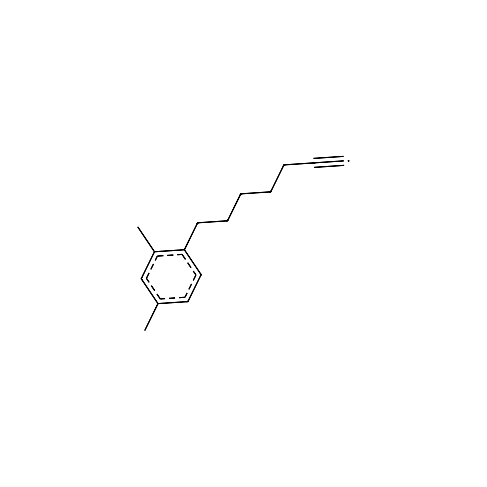 [C]#CCCCCCc1ccc(C)cc1C